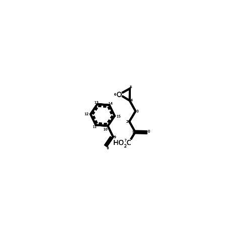 C=C(CCC1CO1)C(=O)O.C=Cc1ccccc1